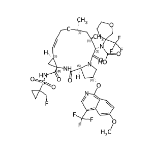 COc1ccc2c(O[C@@H]3C[C@H]4C(=O)N[C@]5(C(=O)NS(=O)(=O)C6(CF)CC6)C[C@H]5C=CCC[C@H](C)C[C@@H](C)[C@H](N(C(=O)O)C5(C(F)(F)F)CCCOC5)C(=O)N4C3)ncc(C(F)(F)F)c2c1